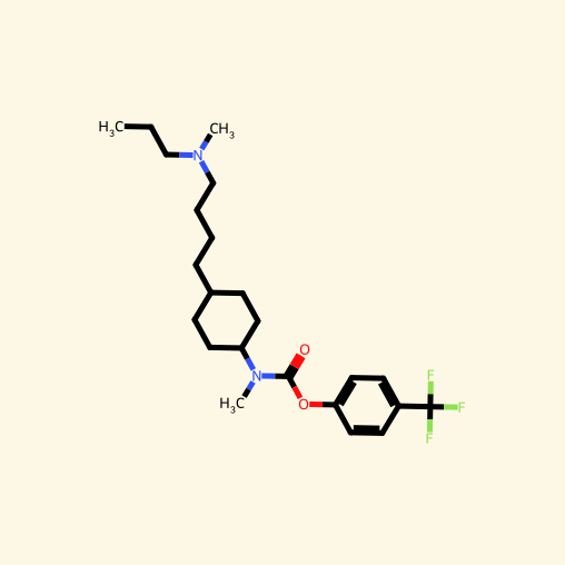 CCCN(C)CCCCC1CCC(N(C)C(=O)Oc2ccc(C(F)(F)F)cc2)CC1